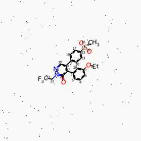 CCOc1cccc(-c2c(-c3ccc(S(C)(=O)=O)cc3)cnn(CC(F)(F)F)c2=O)c1